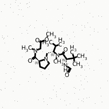 COC(=O)CN(C)C(=O)[C@@H]1CCCN1C[C@H](C(C)C)N(C)C(=O)[C@@H](NC=O)C(C)(C)C